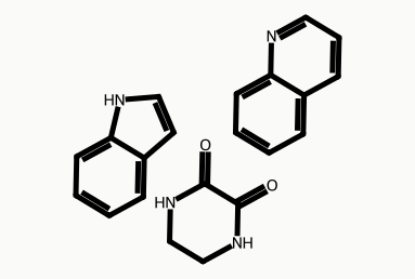 O=C1NCCNC1=O.c1ccc2[nH]ccc2c1.c1ccc2ncccc2c1